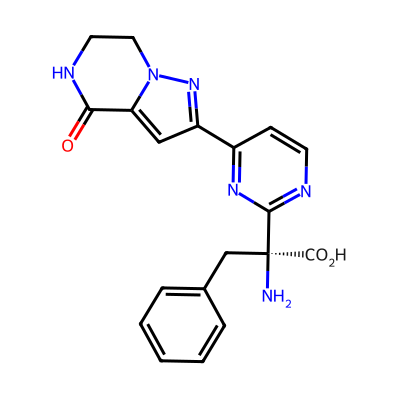 N[C@](Cc1ccccc1)(C(=O)O)c1nccc(-c2cc3n(n2)CCNC3=O)n1